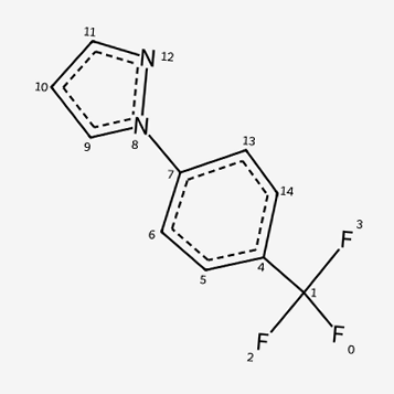 FC(F)(F)c1ccc(-n2cccn2)cc1